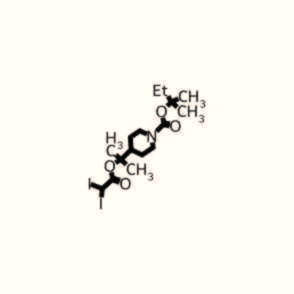 CCC(C)(C)OC(=O)N1CCC(C(C)(C)OC(=O)C(I)I)CC1